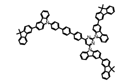 CC1(C)c2ccccc2-c2cc(-c3ccc4c(c3)c3ccccc3n4-c3ccc(-c4ccc(-c5ccc(-c6cc(-n7c8ccccc8c8cc(-c9ccc%10c(c9)-c9ccccc9C%10(C)C)ccc87)nc(-n7c8ccccc8c8cc(-c9ccc%10c(c9)-c9ccccc9C%10(C)C)ccc87)n6)cc5)cc4)cc3)ccc21